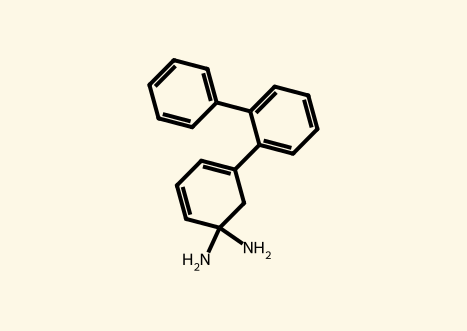 NC1(N)C=CC=C(c2ccccc2-c2ccccc2)C1